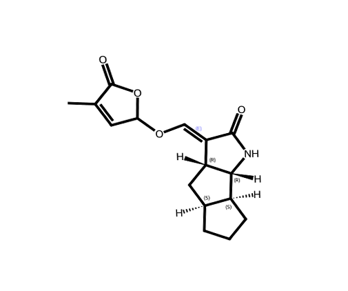 CC1=CC(O/C=C2/C(=O)N[C@@H]3[C@H]4CCC[C@H]4C[C@H]23)OC1=O